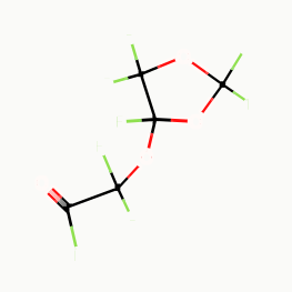 O=C(F)C(F)(F)OC1(F)OC(F)(F)OC1(F)F